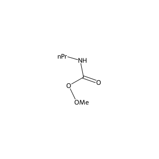 CCCNC(=O)OOC